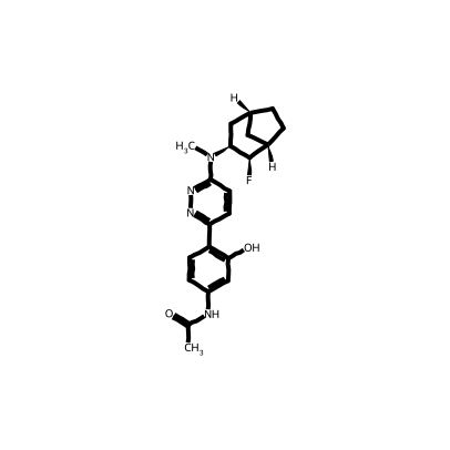 CC(=O)Nc1ccc(-c2ccc(N(C)[C@H]3C[C@@H]4CC[C@@H](C4)[C@H]3F)nn2)c(O)c1